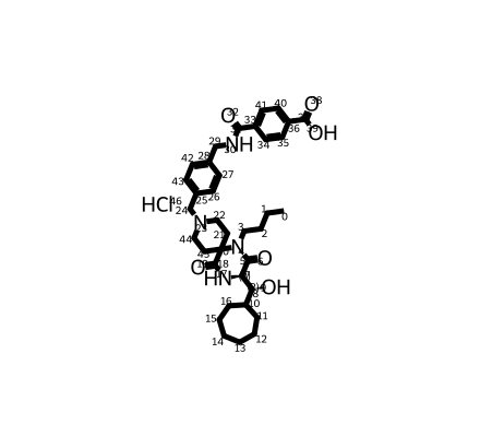 CCCCN1C(=O)[C@@H]([C@H](O)C2CCCCCC2)NC(=O)C12CCN(Cc1ccc(CNC(=O)c3ccc(C(=O)O)cc3)cc1)CC2.Cl